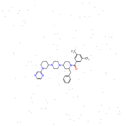 O=C(c1cc(C(F)(F)F)cc(C(F)(F)F)c1)N1CCC(N2CCN(C3CCCN(c4cnccn4)C3)CC2)CC1Cc1ccccc1